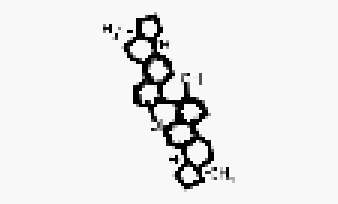 C[C@@]12CCC[C@H]1c1ccc3c(-c4c(O)ccc5c6c(ccc45)[C@@H]4CCC[C@@]4(C)CC6)c(O)ccc3c1CC2